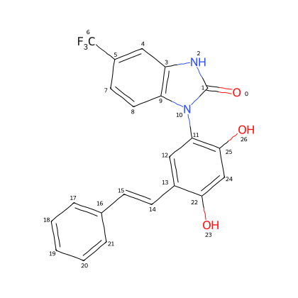 O=c1[nH]c2cc(C(F)(F)F)ccc2n1-c1cc(C=Cc2ccccc2)c(O)cc1O